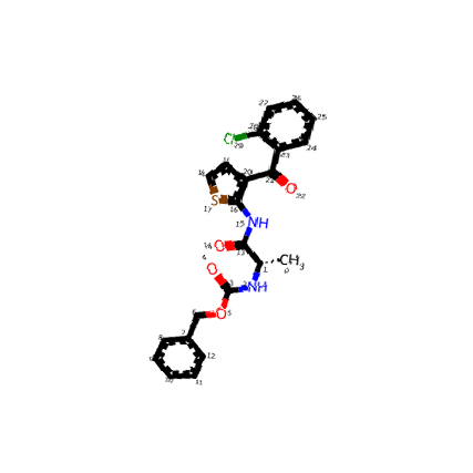 C[C@H](NC(=O)OCc1ccccc1)C(=O)Nc1sccc1C(=O)c1ccccc1Cl